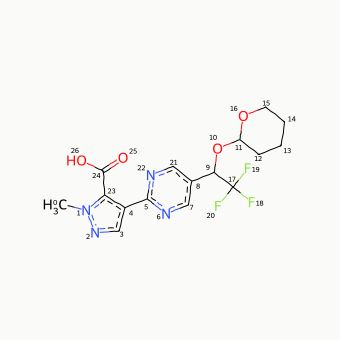 Cn1ncc(-c2ncc(C(OC3CCCCO3)C(F)(F)F)cn2)c1C(=O)O